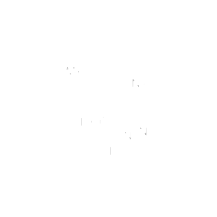 COc1ccnc(-c2cnn(C)c2C(=O)O)c1